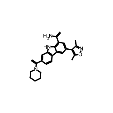 C=C(N)c1cc(-c2c(C)noc2C)cc2c1[nH]c1cc(C(=C)N3CCCCC3)ccc12